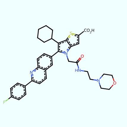 O=C(Cn1c(-c2ccc3nc(-c4ccc(F)cc4)ccc3c2)c(C2CCCCC2)c2sc(C(=O)O)cc21)NCCN1CCOCC1